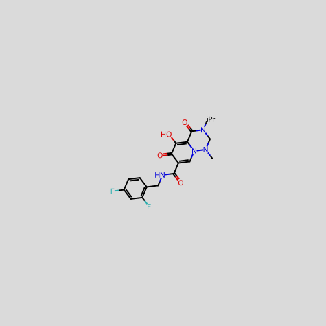 CC(C)N1CN(C)n2cc(C(=O)NCc3ccc(F)cc3F)c(=O)c(O)c2C1=O